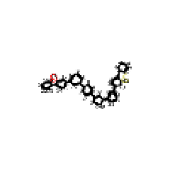 c1cc(-c2ccc(-c3cccc(-c4ccc5c(c4)oc4ccccc45)c3)cc2)cc(-c2cccc(-c3ccc4c(c3)sc3ccccc34)c2)c1